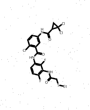 CCSCC(=O)Nc1c(F)ccc(NC(=O)c2cc(NC(=O)C3CC3(Cl)Cl)ccc2Cl)c1F